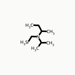 CCC(C)N(C[SiH3])C(C)C